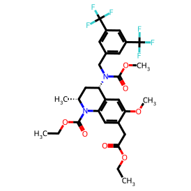 CCOC(=O)Cc1cc2c(cc1OC)[C@@H](N(Cc1cc(C(F)(F)F)cc(C(F)(F)F)c1)C(=O)OC)C[C@@H](C)N2C(=O)OCC